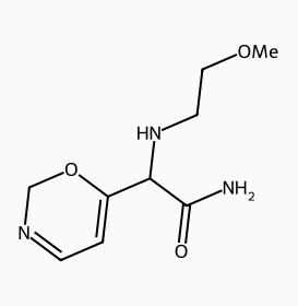 COCCNC(C(N)=O)C1=CC=NCO1